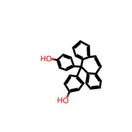 Oc1ccc(C2(c3ccc(O)cc3)c3ccccc3C=Cc3ccccc32)cc1